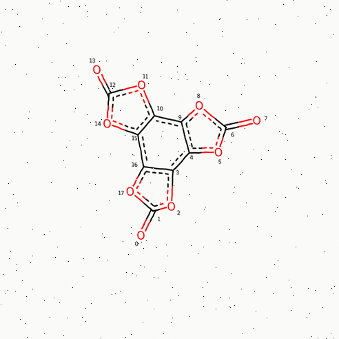 O=c1oc2c3oc(=O)oc3c3oc(=O)oc3c2o1